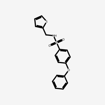 O=S(=O)(NCc1cccs1)c1ccc(Oc2ccccc2)cc1